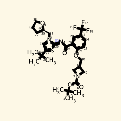 CC(C)(C)OC(=O)N1CC(COc2ccc(C(F)(F)F)cc2C(=O)/N=c2\sc(C(C)(C)C)cn2C[C@H]2CCCO2)C1